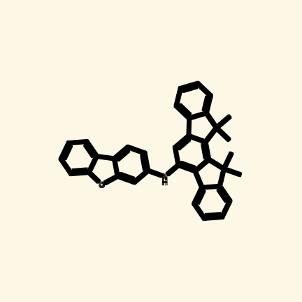 CC1(C)c2ccccc2-c2cc(Nc3ccc4c(c3)oc3ccccc34)c3c(c21)C(C)(C)c1ccccc1-3